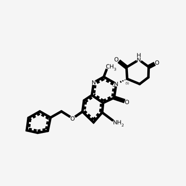 Cc1nc2cc(OCc3ccccc3)cc(N)c2c(=O)n1[C@H]1CCC(=O)NC1=O